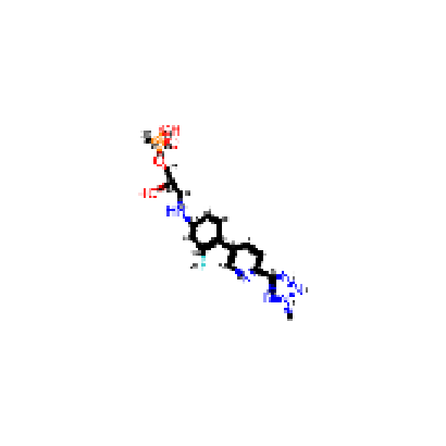 Cn1nnc(-c2ccc(-c3ccc(NCC(O)COP(C)(=O)O)cc3F)cn2)n1